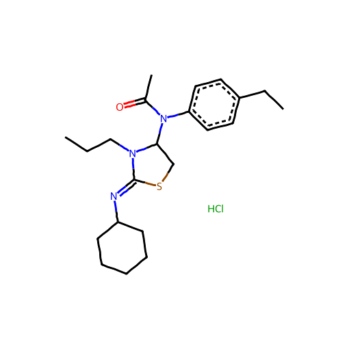 CCCN1C(=NC2CCCCC2)SCC1N(C(C)=O)c1ccc(CC)cc1.Cl